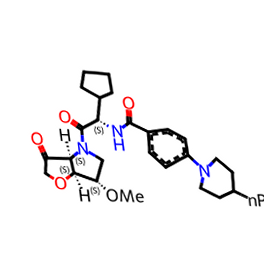 CCCC1CCN(c2ccc(C(=O)N[C@H](C(=O)N3C[C@H](OC)[C@H]4OCC(=O)[C@H]43)C3CCCC3)cc2)CC1